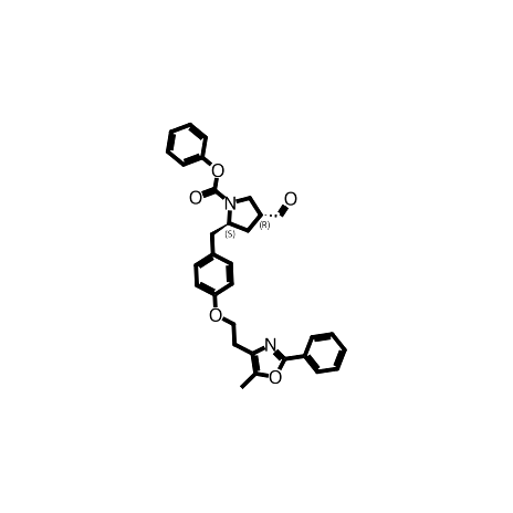 Cc1oc(-c2ccccc2)nc1CCOc1ccc(C[C@@H]2C[C@@H](C=O)CN2C(=O)Oc2ccccc2)cc1